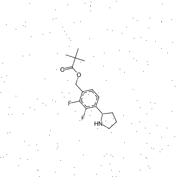 CC(C)(C)C(=O)OCc1ccc(C2CCCN2)c(F)c1F